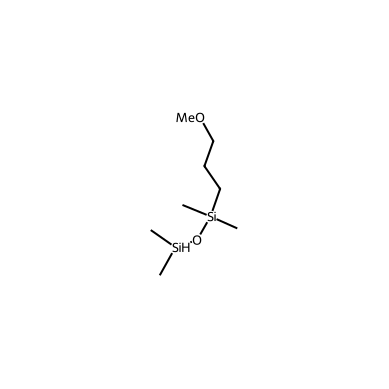 COCCC[Si](C)(C)O[SiH](C)C